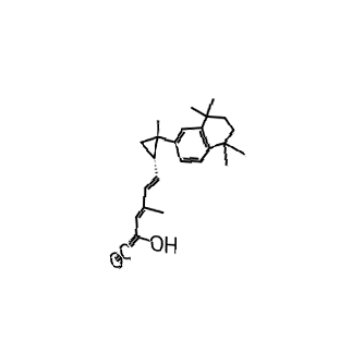 CC(/C=C/[C@@H]1C[C@]1(C)c1ccc2c(c1)C(C)(C)CCC2(C)C)=C\C(O)=C=O